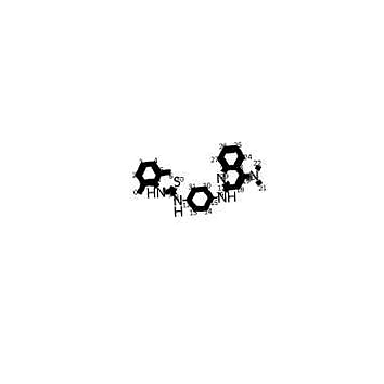 Cc1cccc(C)c1NC(=S)N[C@H]1CC[C@@H](Nc2cc(N(C)C)c3ccccc3n2)CC1